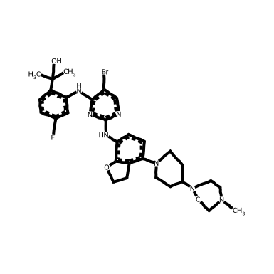 CN1CCN(C2CCN(c3ccc(Nc4ncc(Br)c(Nc5cc(F)ccc5C(C)(C)O)n4)c4c3CCO4)CC2)CC1